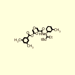 CCC(N(NC(=O)C1=COC=C(OC(=O)c2cc(C)cc(C)c2)O1)C1=CC(C)=CCC1)C(C)(C)C